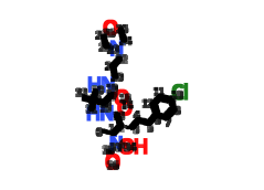 C[C@@H]([C@@H](CCCc1ccc(Cl)cc1)C(=O)N[C@H](C(=O)NCCCN1CCOCC1)C(C)(C)C)N(O)C=O